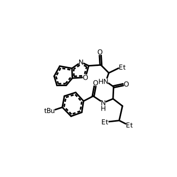 CCC(CC)CC(NC(=O)c1ccc(C(C)(C)C)cc1)C(=O)NC(CC)C(=O)c1nc2ccccc2o1